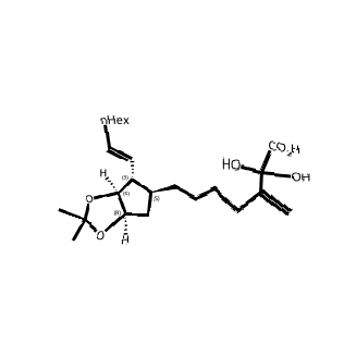 C=C(CCCC[C@H]1C[C@H]2OC(C)(C)O[C@H]2[C@@H]1C=CCCCCCC)C(O)(O)C(=O)O